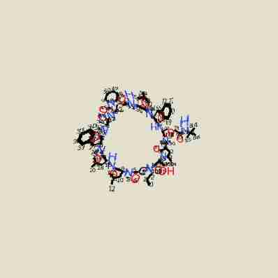 CCCN1CC(=O)N(C)C(CC(C)C)C(=O)N[C@@H](CC(C)C)C(=O)N(C)[C@@H](Cc2ccccc2)C(=O)N(C)[C@@H](C)C(=O)N[C@H](C(=O)N2CCCCC2)CC(=O)N[C@H](CC(C)C)C(=O)N(C)[C@@H](Cc2ccccc2)C(=O)N[C@@H](COCC(=O)NC(C)(C)C)C(=O)N(C)[C@H]2CC(C)N(C2=O)[C@@H]([C@@H](C)O)C1=O